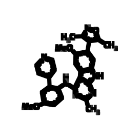 COc1ccc(Nc2nc(C)nc3[nH]c4cc(-c5c(C)noc5C)c(OC)cc4c23)c(-c2ccncc2)c1